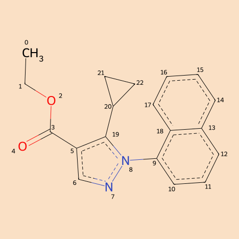 CCOC(=O)c1cnn(-c2cccc3ccccc23)c1C1CC1